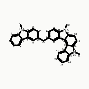 Cn1c2ccccc2c2cc(Cc3ccc4c(c3)c3c5c6ccccc6n(C)c5ccc3n4C)ccc21